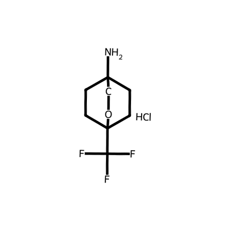 Cl.NC12CCC(C(F)(F)F)(CC1)OC2